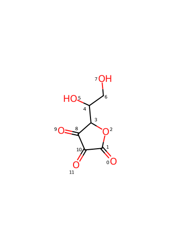 O=C1OC(C(O)CO)C(=O)C1=O